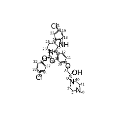 CN1CCN(CC(O)COc2ccc(C3C4Nc5ccc(Cl)cc5C4CCN3C(=O)Oc3ccc(Cl)cc3)cc2)CC1